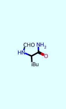 CCC(C)C(NC=O)C(N)=O